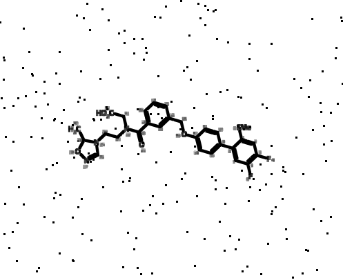 CSc1cc(F)c(F)cc1-c1ccc(OCc2cccc(C(=O)N(CCN3C=NOC3C)CC(=O)O)c2)cc1